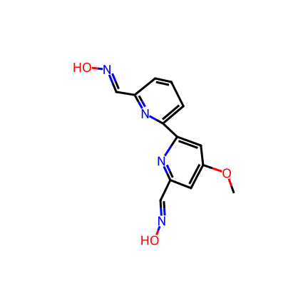 COc1cc(/C=N/O)nc(-c2cccc(C=NO)n2)c1